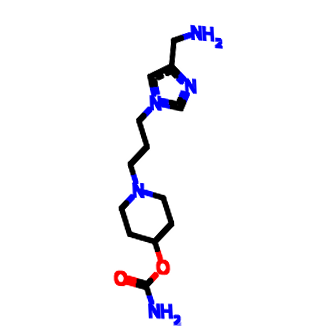 NCc1cn(CCCN2CCC(OC(N)=O)CC2)cn1